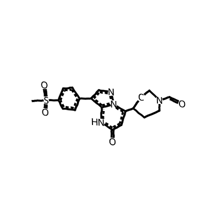 CS(=O)(=O)c1ccc(-c2cnn3c(C4CCN(C=O)CC4)cc(=O)[nH]c23)cc1